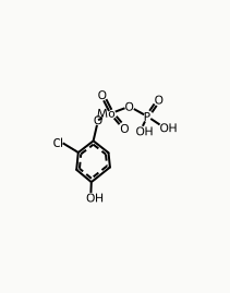 O=P(O)(O)[O][Mo](=[O])(=[O])[O]c1ccc(O)cc1Cl